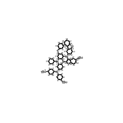 CC(C)(C)c1ccc(N(c2ccc(C(C)(C)C)cc2)c2ccc3c(c2)N(c2ccccc2)c2cc(Sc4ccccc4)cc4c2B3c2sc3ccc(C(C)(C)C)cc3c2N4c2ccc3oc4ccccc4c3c2)cc1